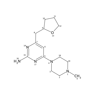 CN1CCN(c2cc(CC3CCCO3)nc(N)n2)CC1